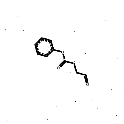 O=CCCC(=O)Oc1ccccc1